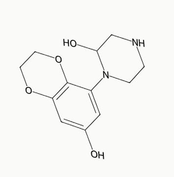 Oc1cc2c(c(N3CCNCC3O)c1)OCCO2